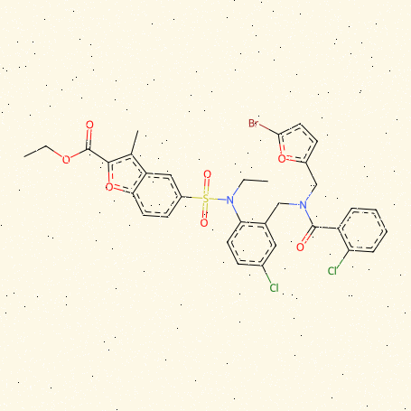 CCOC(=O)c1oc2ccc(S(=O)(=O)N(CC)c3ccc(Cl)cc3CN(Cc3ccc(Br)o3)C(=O)c3ccccc3Cl)cc2c1C